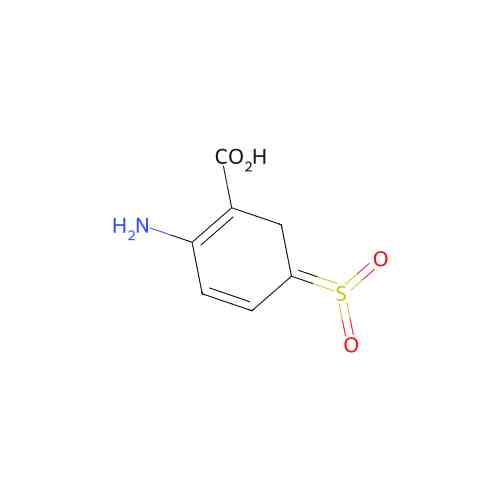 NC1=C(C(=O)O)CC(=S(=O)=O)C=C1